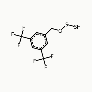 FC(F)(F)c1cc(COSS)cc(C(F)(F)F)c1